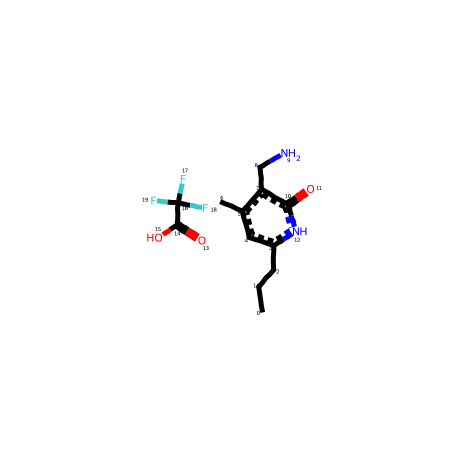 CCCc1cc(C)c(CN)c(=O)[nH]1.O=C(O)C(F)(F)F